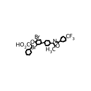 Cc1oc(-c2ccc(C(F)(F)F)cc2)nc1-c1ccc(-c2cc(Br)c(OC(Cc3ccccc3)C(=O)O)c(Br)c2)cc1